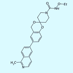 CCONC(=O)N1CCC2(CC1)OCc1cc(-c3ccc4c(C)nccc4c3)ccc1O2